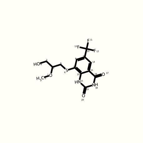 COC(CO)CSc1cc(C(F)(F)F)cc2c(=O)[nH]c(=O)[nH]c12